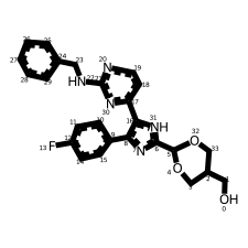 OCC1COC(c2nc(-c3ccc(F)cc3)c(-c3ccnc(NCc4ccccc4)n3)[nH]2)OC1